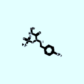 CCCNC(=O)N(NCc1ccc(C)cc1)OS(C)(=O)=O